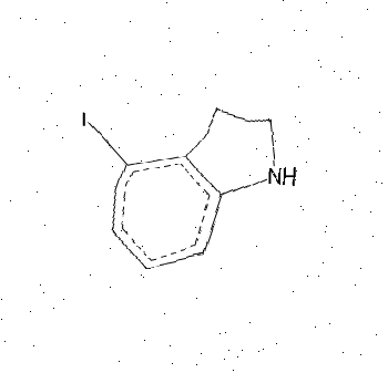 Ic1cccc2c1CCN2